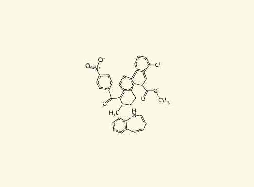 C1=CNc2ccccc2C=C1.COC(=O)C1C=c2c(Cl)cccc2=c2ccc3c(c21)CCC(C)C=3C(=O)c1ccc([N+](=O)[O-])cc1